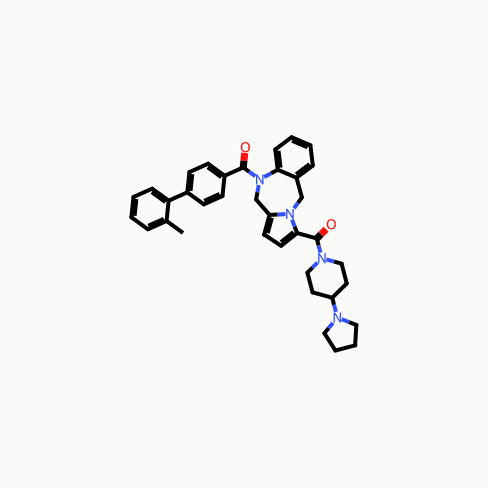 Cc1ccccc1-c1ccc(C(=O)N2Cc3ccc(C(=O)N4CCC(N5CCCC5)CC4)n3Cc3ccccc32)cc1